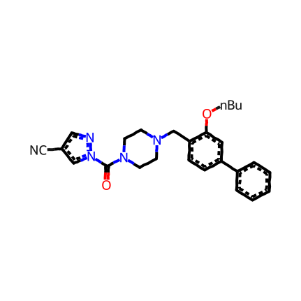 CCCCOc1cc(-c2ccccc2)ccc1CN1CCN(C(=O)n2cc(C#N)cn2)CC1